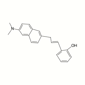 CN(C)c1ccc2cc(C/C=C/c3ccccc3O)ccc2c1